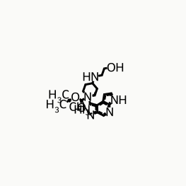 CC(C)(C)OC(=O)[N+]1(c2[nH]nc3cnc4[nH]ccc4c23)CCC(NCCO)CC1